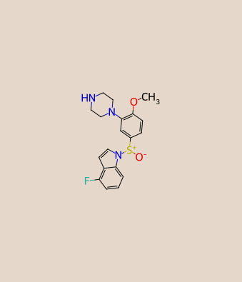 COc1ccc([S+]([O-])n2ccc3c(F)cccc32)cc1N1CCNCC1